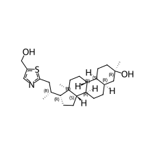 C[C@H](Cc1ncc(CO)s1)[C@H]1CC[C@H]2[C@@H]3CC[C@@H]4C[C@](C)(O)CC[C@@H]4[C@H]3CC[C@]12C